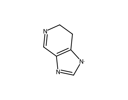 C1=NCCC2=C1N=C[N]2